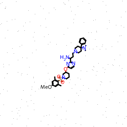 COc1cc(C)c(S(=O)(=O)N2CCCC(Oc3ccnc(C(N)CCN4CCC(c5ccccc5)(N(C)C)CC4)n3)C2)c(C)c1